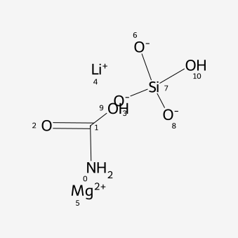 NC(=O)O.[Li+].[Mg+2].[O-][Si]([O-])([O-])O